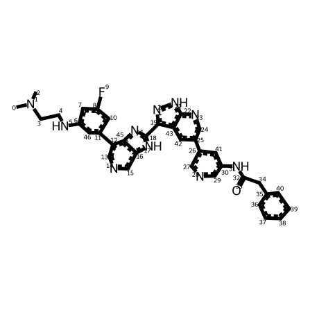 CN(C)CCNc1cc(F)cc(-c2cncc3[nH]c(-c4n[nH]c5ncc(-c6cncc(NC(=O)Cc7ccccc7)c6)cc45)nc23)c1